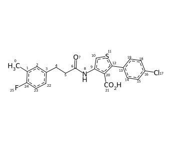 Cc1cc(CCC(=O)Nc2csc(-c3ccc(Cl)cc3)c2C(=O)O)ccc1F